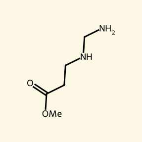 COC(=O)CCNCN